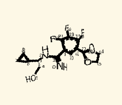 N=C(N[C@H](CO)C1CC1)c1cc(C2OCCO2)c(F)c(F)c1F